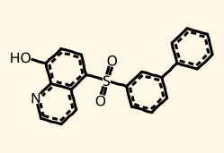 O=S(=O)(c1cccc(-c2ccccc2)c1)c1ccc(O)c2ncccc12